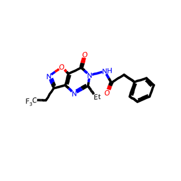 CCc1nc2c(CC(F)(F)F)noc2c(=O)n1NC(=O)Cc1ccccc1